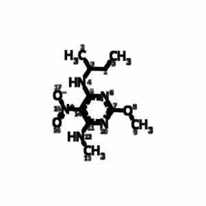 CCC(C)Nc1nc(OC)nc(NC)c1[N+](=O)[O-]